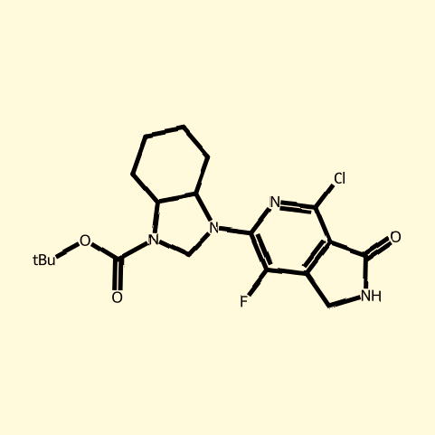 CC(C)(C)OC(=O)N1CN(c2nc(Cl)c3c(c2F)CNC3=O)C2CCCCC21